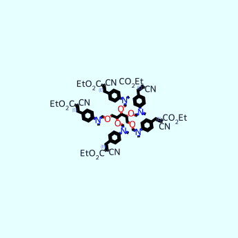 CCOC(=O)/C(C#N)=C/c1ccc(N(C)COCC(OCN(C)c2ccc(/C=C(\C#N)C(=O)OCC)cc2)C(OCN(C)c2ccc(/C=C(\C#N)C(=O)OCC)cc2)C(COCN(C)c2ccc(/C=C(\C#N)C(=O)OCC)cc2)OCN(C)c2ccc(/C=C(\C#N)C(=O)OCC)cc2)cc1